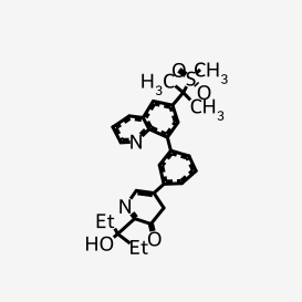 CCC(O)(CC)C1=NC=C(c2cccc(-c3cc(C(C)(C)S(C)(=O)=O)cc4cccnc34)c2)CC1=O